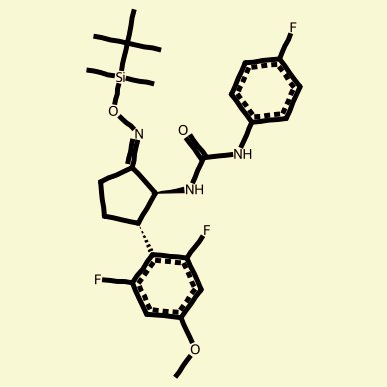 COc1cc(F)c([C@@H]2CC/C(=N\O[Si](C)(C)C(C)(C)C)[C@H]2NC(=O)Nc2ccc(F)cc2)c(F)c1